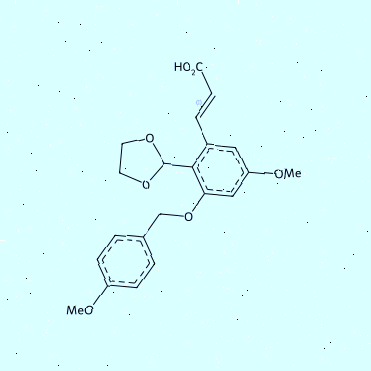 COc1ccc(COc2cc(OC)cc(/C=C/C(=O)O)c2C2OCCO2)cc1